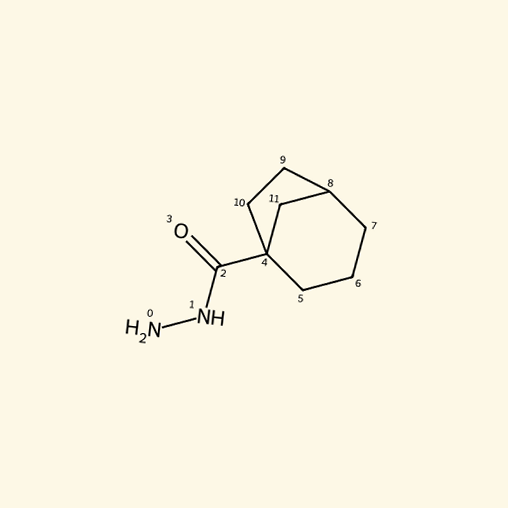 NNC(=O)C12CCCC(CC1)C2